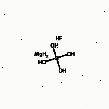 F.O[Si](O)(O)O.[MgH2]